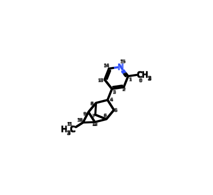 Cc1cc(C2CC3CC2C2C(C)C32)ccn1